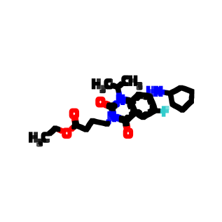 CCOC(=O)CCCn1c(=O)c2cc(F)c(NC3CCCCC3)cc2n(C(C)C)c1=O